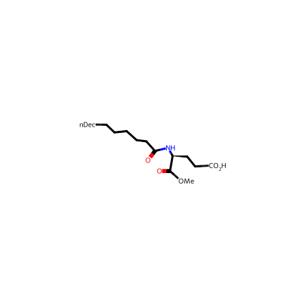 CCCCCCCCCCCCCCCC(=O)N[C@@H](CCC(=O)O)C(=O)OC